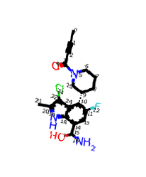 CC#CC(=O)N1CCC[C@H](c2c(F)cc(C(N)O)c3[nH]c(C)c(Cl)c23)C1